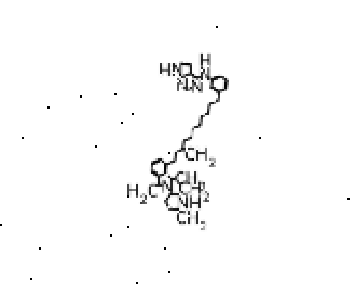 C=C(CCCCCCCCc1cccc(Nc2ncnc3[nH]ccc23)c1)CCc1cccc2c(=C)n(C3CCC(=C)NC3=C)c(=C)c12